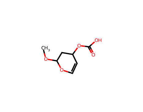 COC1CC(OC(=O)O)C=CO1